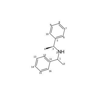 CC(N[C@@H](C)c1ccccc1)c1ccccc1